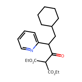 CCOC(=O)C(C(=O)OCC)C(=O)C(CC1CCCCC1)c1ccccn1